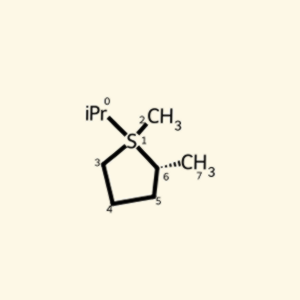 CC(C)S1(C)CCC[C@H]1C